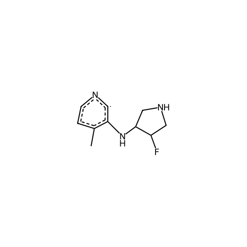 Cc1ccn[c]c1NC1CNCC1F